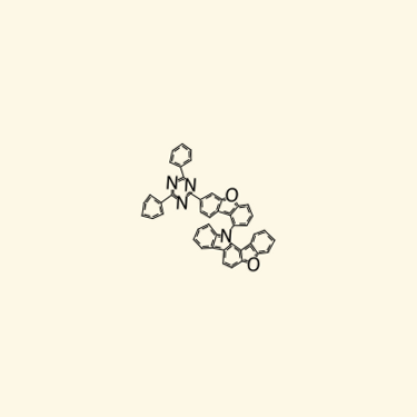 c1ccc(-c2nc(-c3ccccc3)nc(-c3ccc4c(c3)oc3cccc(-n5c6ccccc6c6ccc7oc8ccccc8c7c65)c34)n2)cc1